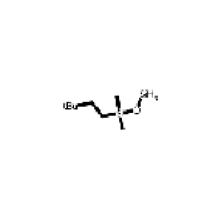 CC(C)(C)CC[Si](C)(C)O[SiH3]